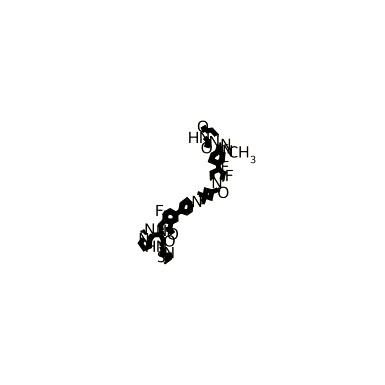 Cn1nc(N2CCC(=O)NC2=O)c2ccc(C3CCN(C(=O)C4CC5(C4)CN(c4ccc(-c6cc(F)c7c(c6)C(=O)N(C(C(=O)Nc6nccs6)c6ncn8c6CCC8)C7)cc4)C5)CC3(F)F)cc21